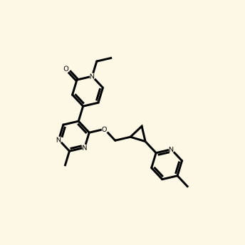 CCn1ccc(-c2cnc(C)nc2OCC2CC2c2ccc(C)cn2)cc1=O